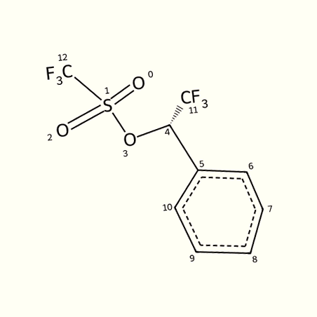 O=S(=O)(O[C@@H](c1ccccc1)C(F)(F)F)C(F)(F)F